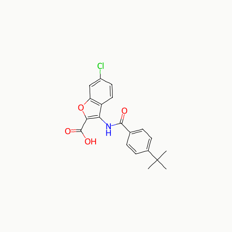 CC(C)(C)c1ccc(C(=O)Nc2c(C(=O)O)oc3cc(Cl)ccc23)cc1